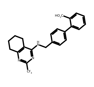 O=C(O)c1ccccc1-c1ccc(CNc2nc(C(F)(F)F)nc3c2CCCC3)cc1